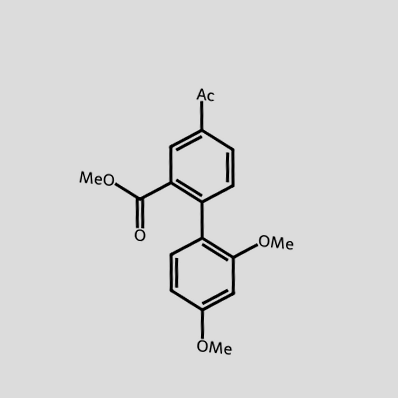 COC(=O)c1cc(C(C)=O)ccc1-c1ccc(OC)cc1OC